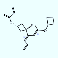 C=C/C=C(\C=C(/C)OC1CCC1)[C@]1(F)C[C@H](OC(=C)C=C)C1